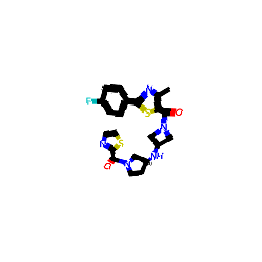 Cc1nc(-c2ccc(F)cc2)sc1C(=O)N1CC(N[C@H]2CCN(C(=O)c3nccs3)C2)C1